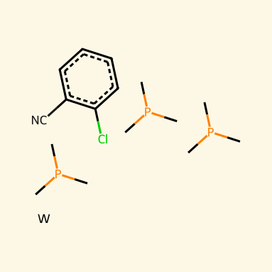 CP(C)C.CP(C)C.CP(C)C.N#Cc1ccccc1Cl.[W]